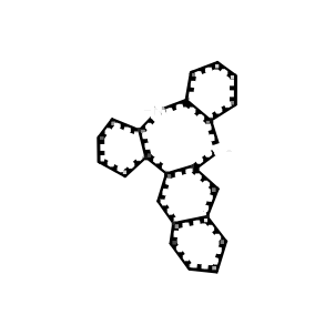 c1ccc2cc3c(cc2c1)[se]c1ccccc1[nH]c1ccccc13